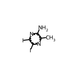 Cc1nc(I)c(I)nc1N